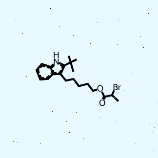 CC(Br)C(=O)OCCCCCc1c(C(C)(C)C)[nH]c2ccccc12